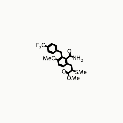 COC(=O)C(Cc1ccc(OC)c(Cc2ccc(C(F)(F)F)cc2)c1C(N)=O)SC